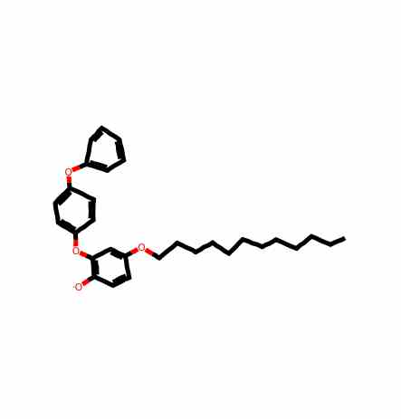 CCCCCCCCCCCCOc1ccc([O])c(Oc2ccc(Oc3ccccc3)cc2)c1